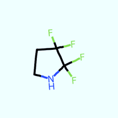 FC1(F)CCNC1(F)F